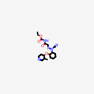 CCOC(=O)NC(=O)C=NN(C#N)c1ccccc1Oc1ccncc1C